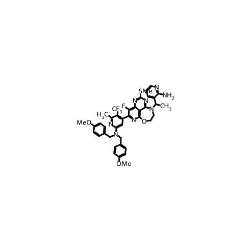 COc1ccc(CN(Cc2ccc(OC)cc2)c2cc(-c3nc4c5c(nc(SC)nc5c3F)N(C(C)c3cccnc3N)CCO4)c(C(F)(F)F)c(C)n2)cc1